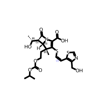 CC(C)OC(=O)OCC[C@@]1(C)C(S/C=C\c2scnc2CO)=C(C(=O)O)N2C(=O)[C@H]([C@@H](C)O)[C@H]21